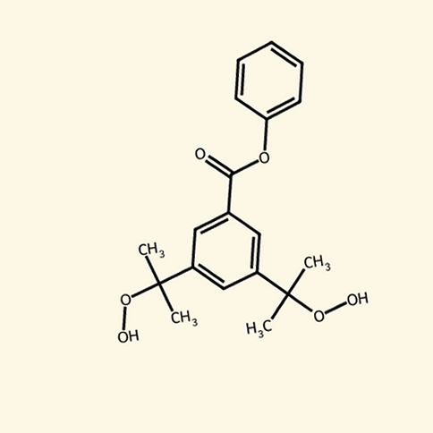 CC(C)(OO)c1cc(C(=O)Oc2ccccc2)cc(C(C)(C)OO)c1